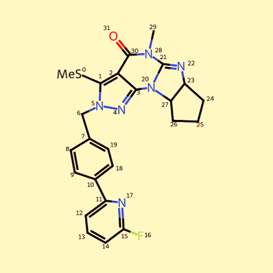 CSc1c2c(nn1Cc1ccc(-c3cccc(F)n3)cc1)N1C(=NC3CCCC31)N(C)C2=O